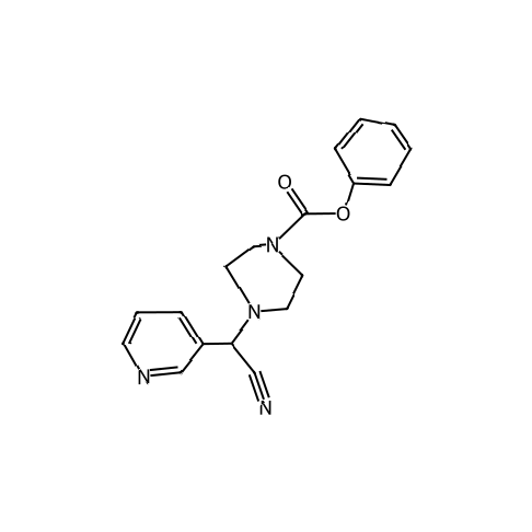 N#CC(c1cccnc1)N1CCN(C(=O)Oc2ccccc2)CC1